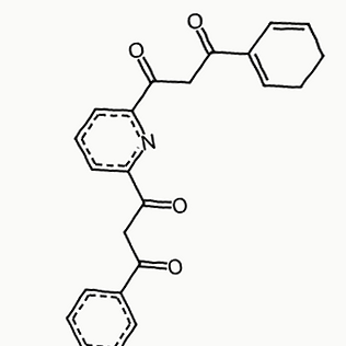 O=C(CC(=O)c1cccc(C(=O)CC(=O)c2ccccc2)n1)C1=CCCC=C1